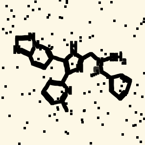 BN(Cc1nc(-c2cccc(C)n2)c(-c2ccc3ncnn3c2)[nH]1)[C@@H](C)c1ccccc1